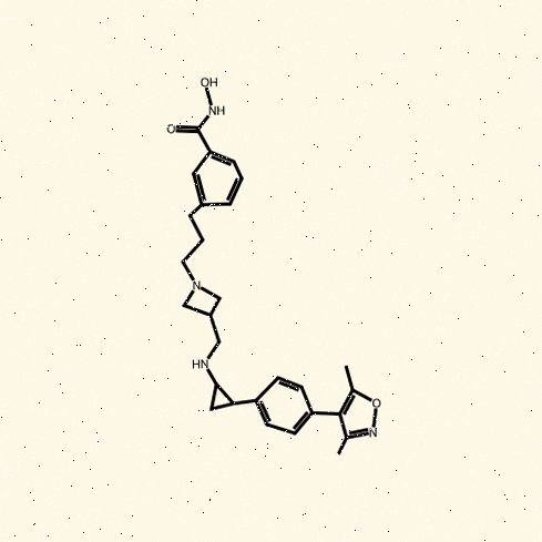 Cc1noc(C)c1-c1ccc(C2CC2NCC2CN(CCCc3cccc(C(=O)NO)c3)C2)cc1